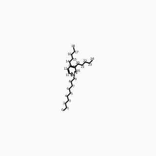 CCCCCCCCCC[n+]1ccc(CCCCC)c(CCCCC)c1